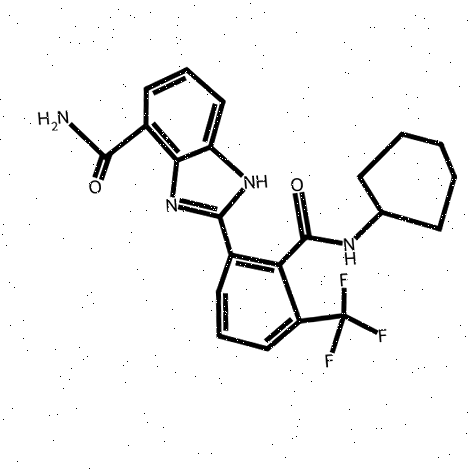 NC(=O)c1cccc2[nH]c(-c3cccc(C(F)(F)F)c3C(=O)NC3CCCCC3)nc12